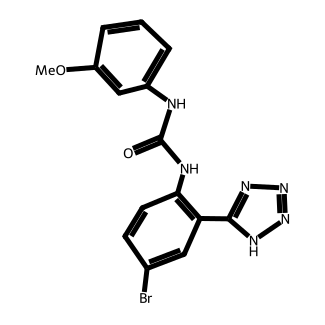 COc1cccc(NC(=O)Nc2ccc(Br)cc2-c2nnn[nH]2)c1